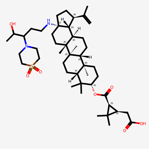 C=C(C)[C@@H]1CC[C@]2(NCCC(C(C)O)N3CCS(=O)(=O)CC3)CC[C@]3(C)[C@H](CC[C@@H]4[C@@]5(C)CC[C@H](OC(=O)[C@H]6[C@@H](CC(=O)O)C6(C)C)C(C)(C)[C@@H]5CC[C@]43C)[C@@H]12